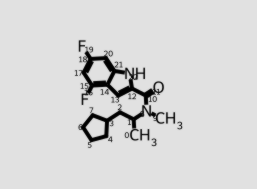 CC(CC1CCCC1)N(C)C(=O)c1cc2c(F)cc(F)cc2[nH]1